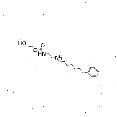 O=C(NCCNCCCCCCCc1ccccc1)OCCO